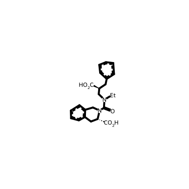 CCN(C[C@H](Cc1ccccc1)C(=O)O)C(=O)N1Cc2ccccc2C[C@H]1C(=O)O